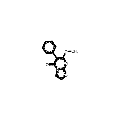 COc1nc2sccn2c(=O)c1-c1ccccc1